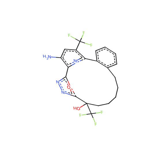 Nc1cc(C(F)(F)F)c2nc1-c1nnc(o1)C(O)(C(F)(F)F)CCCCCc1ccccc1-2